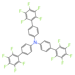 Fc1c(F)c(F)c(-c2ccc(N(c3ccc(-c4c(F)c(F)c(F)c(F)c4F)cc3)c3ccc(-c4c(F)c(F)c(F)c(F)c4F)cc3)cc2)c(F)c1F